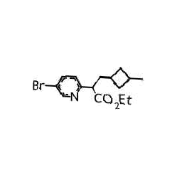 CCOC(=O)C(CC1CC(C)C1)c1ccc(Br)cn1